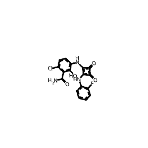 NC(=O)c1c(Cl)ccc(Nc2c(Nc3ccccc3F)c(=O)c2=O)c1O